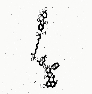 C#Cc1c(F)ccc2cc(O)cc(-c3ncc4c(N5CC6CCC(C5)N6)nc(OC[C@@]56CCC(COC(=O)N(C)CCCCCCCC(=O)Nc7ccc8c(c7)C(=O)N(C7CCC(=O)NC7=O)C8=O)N5CC(=C)C6)nc4c3F)c12